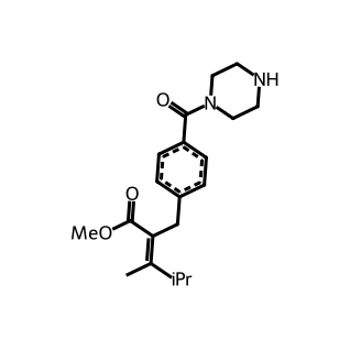 COC(=O)/C(Cc1ccc(C(=O)N2CCNCC2)cc1)=C(\C)C(C)C